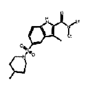 CCN(CC)C(=O)c1[nH]c2ccc(S(=O)(=O)N3CCC(C)CC3)cc2c1C